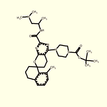 Cc1cccc2c1C1(CCC2)CCc2c(nc(C(=O)NC(C)CN(C)C)nc2N2CCN(C(=O)OC(C)(C)C)CC2)O1